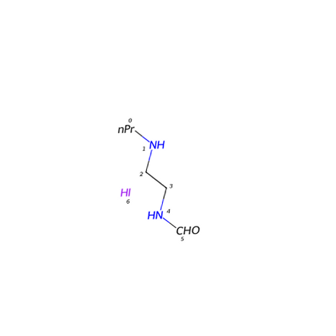 CCCNCCNC=O.I